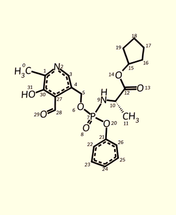 Cc1ncc(COP(=O)(N[C@@H](C)C(=O)OC2CCCC2)Oc2ccccc2)c(C=O)c1O